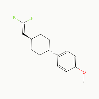 COc1ccc([C@H]2CC[C@H](C=C(F)F)CC2)cc1